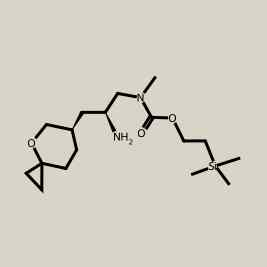 CN(C[C@@H](N)C[C@H]1CCC2(CC2)OC1)C(=O)OCC[Si](C)(C)C